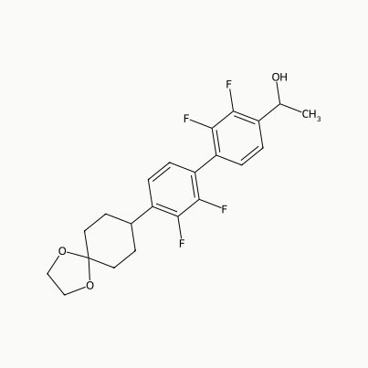 CC(O)c1ccc(-c2ccc(C3CCC4(CC3)OCCO4)c(F)c2F)c(F)c1F